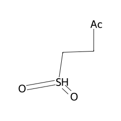 CC(=O)CC[SH](=O)=O